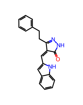 O=C1NN=C(CCc2ccccc2)C1=Cc1cc2ccccc2[nH]1